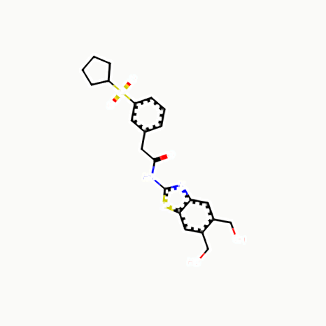 O=C(Cc1cccc(S(=O)(=O)C2CCCC2)c1)Nc1nc2cc(CO)c(CO)cc2s1